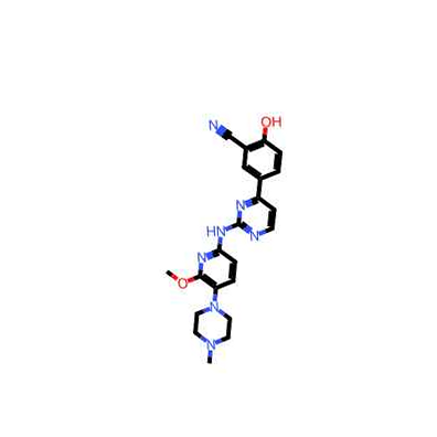 COc1nc(Nc2nccc(-c3ccc(O)c(C#N)c3)n2)ccc1N1CCN(C)CC1